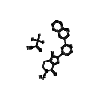 CN1CCc2[nH]c(-c3ccnc(-c4cnc5ccccc5c4)c3)cc2C1=O.O=C(O)C(F)(F)F